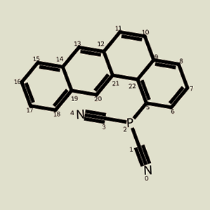 N#CP(C#N)c1cccc2ccc3cc4ccccc4cc3c12